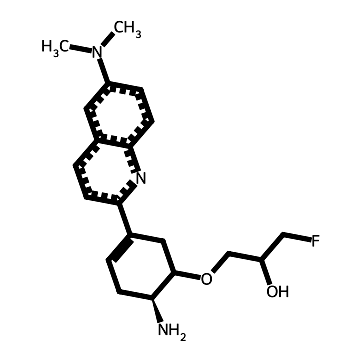 CN(C)c1ccc2nc(C3=CC[C@H](N)C(OCC(O)CF)C3)ccc2c1